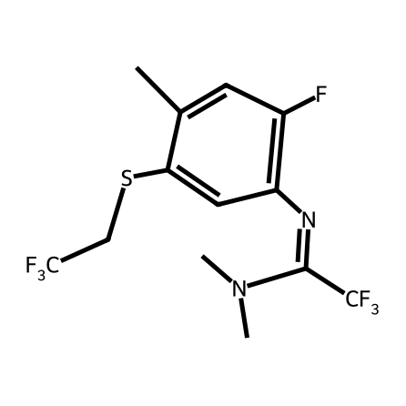 Cc1cc(F)c(N=C(N(C)C)C(F)(F)F)cc1SCC(F)(F)F